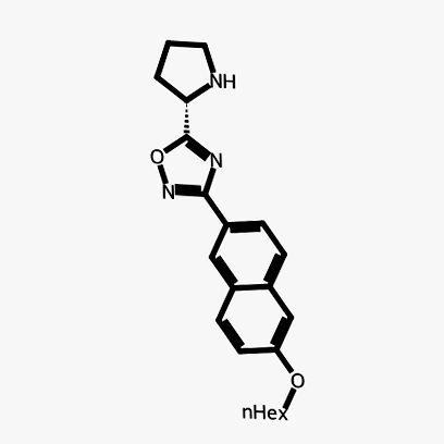 CCCCCCOc1ccc2cc(-c3noc([C@@H]4CCCN4)n3)ccc2c1